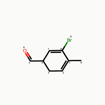 CC1=CCC(C=O)C=C1Br